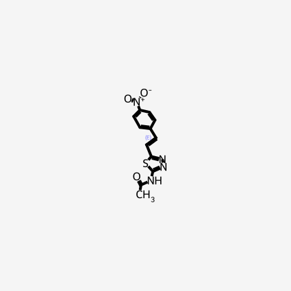 CC(=O)Nc1nnc(/C=C/c2ccc([N+](=O)[O-])cc2)s1